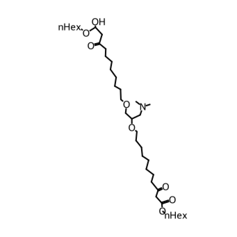 CCCCCCOC(=O)CC(=O)CCCCCCCCOC(COCCCCCCCCC(=O)CC(O)OCCCCCC)CN(C)C